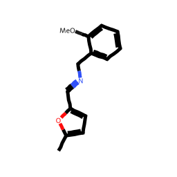 COc1ccccc1C/N=C/c1ccc(C)o1